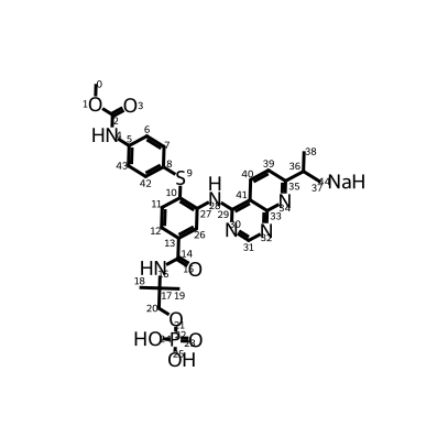 COC(=O)Nc1ccc(Sc2ccc(C(=O)NC(C)(C)COP(=O)(O)O)cc2Nc2ncnc3nc(C(C)C)ccc23)cc1.[NaH]